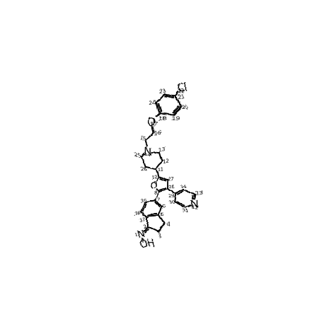 ON=C1CCc2cc(-c3oc(C4CCN(CCOc5ccc(Cl)cc5)CC4)cc3-c3ccncc3)ccc21